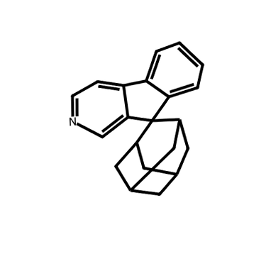 c1ccc2c(c1)-c1ccncc1C21C2CC3CC(C2)CC1C3